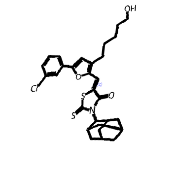 O=C1/C(=C/c2oc(-c3cccc(Cl)c3)cc2CCCCCO)SC(=S)N1C1C2CC3CC(C2)CC1C3